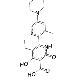 CCc1c(-c2ccc(N3CCCCC3)cc2C)[nH]c(=O)c(C(=O)O)c1O